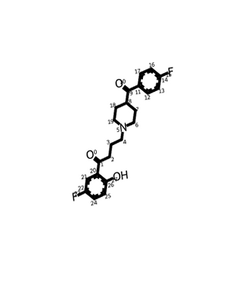 O=C(CCCN1CCC(C(=O)c2ccc(F)cc2)CC1)c1cc(F)ccc1O